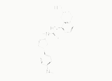 CN(C)c1ccc([C@H]2CCC(NC(=O)Nc3cccc4c3CC(O)CC4)C2)cc1